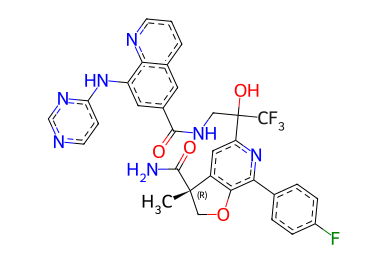 C[C@]1(C(N)=O)COc2c1cc(C(O)(CNC(=O)c1cc(Nc3ccncn3)c3ncccc3c1)C(F)(F)F)nc2-c1ccc(F)cc1